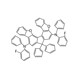 Fc1ccccc1N(c1ccccc1)c1cc2c(c3c1oc1ccccc13)-c1c(cc(N(c3ccccc3)c3ccccc3F)c3c1oc1ccccc13)C2(c1ccccc1)c1ccccc1